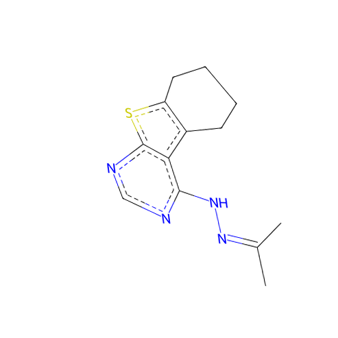 CC(C)=NNc1ncnc2sc3c(c12)CCCC3